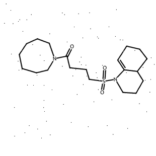 O=C(CCCS(=O)(=O)N1CCCC2CCCC=C21)N1CCCCCCC1